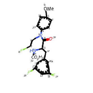 COc1ccc(N(CCF)C(=O)C(Cc2cc(F)cc(F)c2)NC(=O)O)cc1